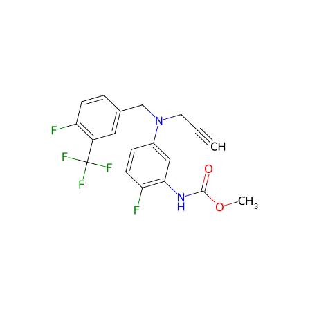 C#CCN(Cc1ccc(F)c(C(F)(F)F)c1)c1ccc(F)c(NC(=O)OC)c1